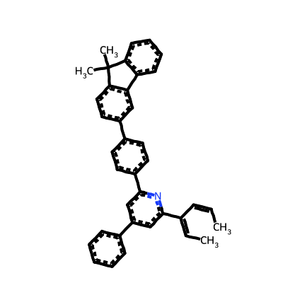 C/C=C\C(=C/C)c1cc(-c2ccccc2)cc(-c2ccc(-c3ccc4c(c3)-c3ccccc3C4(C)C)cc2)n1